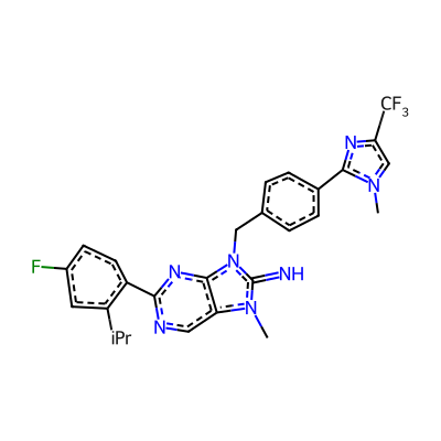 CC(C)c1cc(F)ccc1-c1ncc2c(n1)n(Cc1ccc(-c3nc(C(F)(F)F)cn3C)cc1)c(=N)n2C